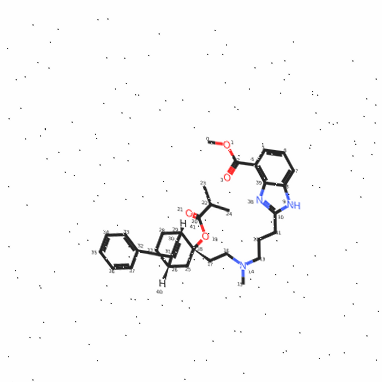 COC(=O)c1cccc2[nH]c(CCCN(C)CC[C@@]3(OC(=O)C(C)C)C[C@@H]4CC[C@H]3C=C4c3ccccc3)nc12